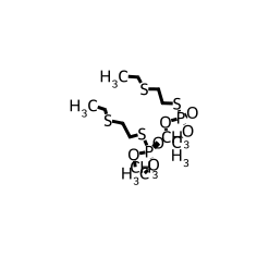 CCSCCSP(=O)(OC)OC.CCSCCSP(=O)(OC)OC